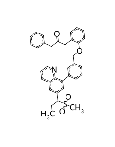 CCC(c1cc(-c2cccc(COc3ccccc3CC(=O)Cc3ccccc3)c2)c2ncccc2c1)S(C)(=O)=O